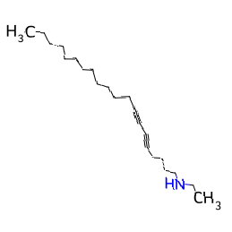 CCCCCCCCCCCCC#CC#CCCCCNCC